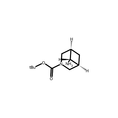 CC(C)(C)OC(=O)N1C[C@H]2C[C@@H](C1)[C@@H]2N